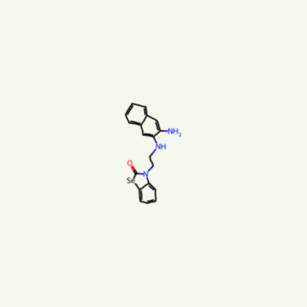 Nc1cc2ccccc2cc1NCCn1c(=O)[se]c2ccccc21